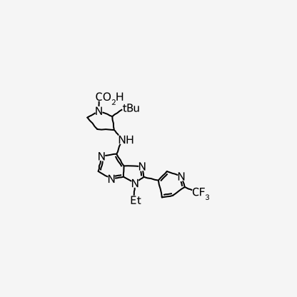 CCn1c(-c2ccc(C(F)(F)F)nc2)nc2c(NC3CCN(C(=O)O)C3C(C)(C)C)ncnc21